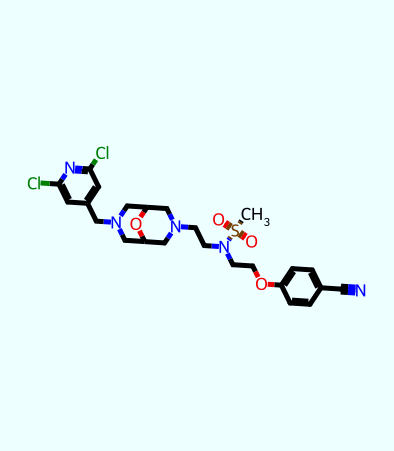 CS(=O)(=O)N(CCOc1ccc(C#N)cc1)CCN1CC2CN(Cc3cc(Cl)nc(Cl)c3)CC(C1)O2